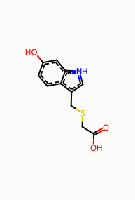 O=C(O)CSCc1c[nH]c2cc(O)ccc12